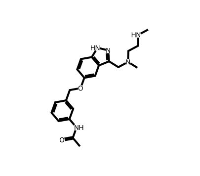 CNCCN(C)Cc1n[nH]c2ccc(OCc3cccc(NC(C)=O)c3)cc12